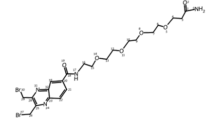 NC(=O)CCOCCOCCOCCOCCNC(=O)c1ccc2nc(CBr)c(CBr)nc2c1